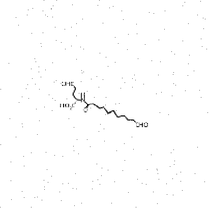 O=[C]CC[C@H](NC(=O)CCCCCCCCCC=O)C(=O)O